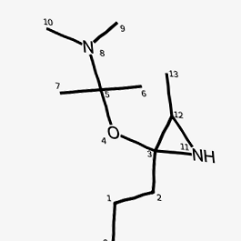 CCCC1(OC(C)(C)N(C)C)NC1C